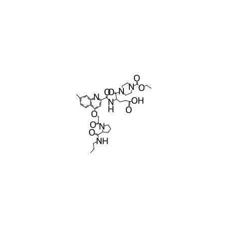 CCCNC(=O)C1CCCN1C(=O)COc1cc(C(=O)NC(CCC(=O)O)C(=O)N2CCN(C(=O)OCC)CC2)nc2cc(C)ccc12